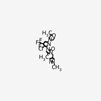 CCn1cc(Cn2c(C)cn(-c3nc(N4CCO[C@H](C)C4)cc(C(F)(F)F)c3Cl)c2=O)cn1